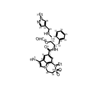 CCCc1cn2c3c(cc(C(=O)N[C@@H](Cc4ccccc4)[C@@H](CNCc4cnn(CC)c4)OC=O)cc13)N(CC)S(=O)(=O)CC2